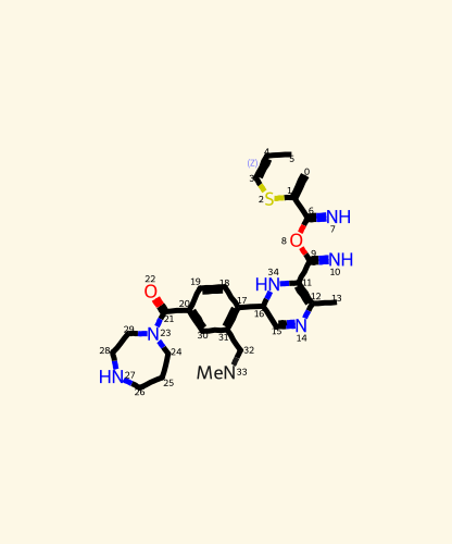 C=C(S/C=C\C)C(=N)OC(=N)C1=C(C)N=CC(c2ccc(C(=O)N3CCCNCC3)cc2CNC)N1